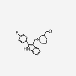 O=CC1CCCN(Cc2c(-c3ccc(F)cc3)[nH]c3ccccc23)C1